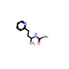 CC(CCc1ccccn1)NC(=O)C(C)(C)C